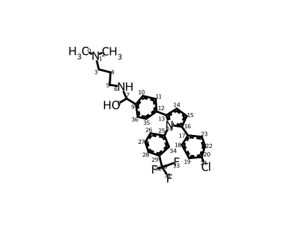 CN(C)CCCNC(O)c1ccc(-c2ccc(-c3ccc(Cl)cc3)n2-c2cccc(C(F)(F)F)c2)cc1